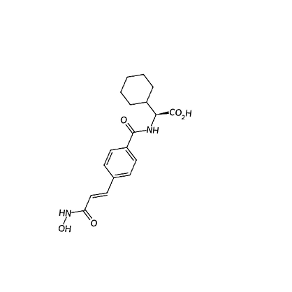 O=C(/C=C/c1ccc(C(=O)N[C@H](C(=O)O)C2CCCCC2)cc1)NO